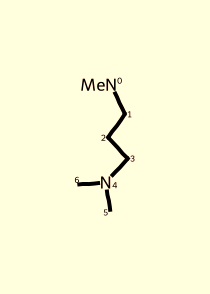 [CH2]NCCCN(C)C